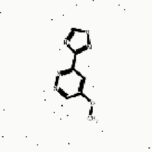 COc1cnnc(-c2ncon2)c1